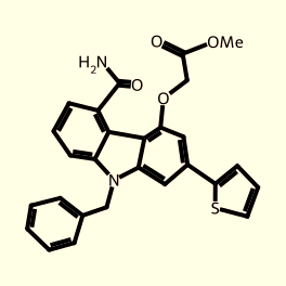 COC(=O)COc1cc(-c2cccs2)cc2c1c1c(C(N)=O)cccc1n2Cc1ccccc1